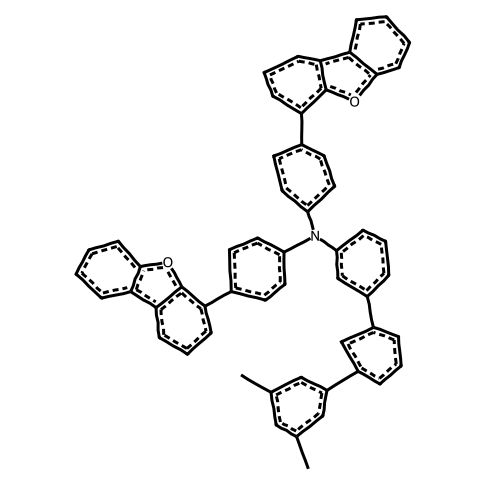 Cc1cc(C)cc(-c2cccc(-c3cccc(N(c4ccc(-c5cccc6c5oc5ccccc56)cc4)c4ccc(-c5cccc6c5oc5ccccc56)cc4)c3)c2)c1